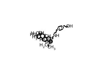 C=C(C)[C@@H]1CC[C@]2(CCNCCCN3CCN(CCO)CC3)CC[C@]3(C)[C@H](CC[C@@H]4[C@@]5(C)CC[C@H](O)C(C)(C)[C@@H]5CC[C@]43C)[C@@H]12